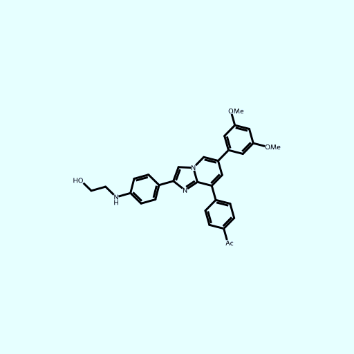 COc1cc(OC)cc(-c2cc(-c3ccc(C(C)=O)cc3)c3nc(-c4ccc(NCCO)cc4)cn3c2)c1